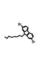 CCCCCCCCC1c2cc(Br)ccc2-c2ccc(Br)cc21